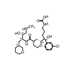 CNC[C@@H](O)[C@H](C[C@@H]1CCCOC1)NC(=O)N1CCO[C@@H]([C@@](O)(CCCNC(=O)O)c2cccc(Cl)c2)C1